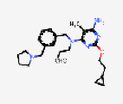 Cc1c(N)nc(OCCC2CC2)nc1N(CCC=O)Cc1cccc(CN2CCCC2)c1